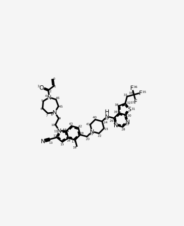 C=CC(=O)N1CCCN(CCn2c(C#N)cc3c(C)c(CN4CCC(Nc5ncnc6sc(CC(F)(F)F)cc56)CC4)ccc32)CC1